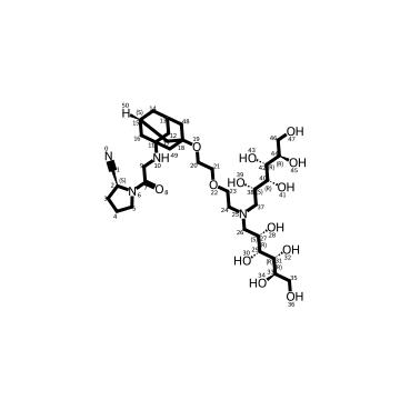 N#C[C@@H]1CCCN1C(=O)CNC12CC3C[C@@H](C1)CC(OCCOCCN(C[C@H](O)[C@@H](O)[C@H](O)[C@H](O)CO)C[C@H](O)[C@@H](O)[C@H](O)[C@H](O)CO)(C3)C2